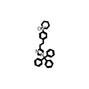 [O-][N+]1(c2ccc(CCc3cn(C(c4ccccc4)(c4ccccc4)c4ccccc4)cn3)cc2)CCCCC1